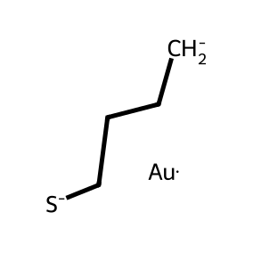 [Au].[CH2-]CCC[S-]